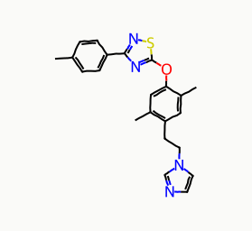 Cc1ccc(-c2nsc(Oc3cc(C)c(CCn4ccnc4)cc3C)n2)cc1